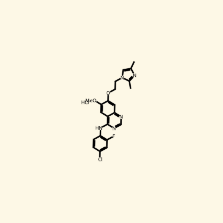 COc1cc2c(Nc3ccc(Cl)cc3F)ncnc2cc1OCCn1cc(C)nc1C.Cl